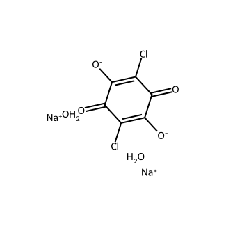 O.O.O=C1C([O-])=C(Cl)C(=O)C([O-])=C1Cl.[Na+].[Na+]